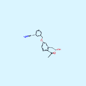 CC(=O)c1ccc(OCc2cccc(C#N)c2)cc1CCO